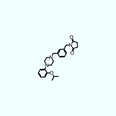 CC(C)Oc1ccccc1N1CCN(Cc2cccc(CN3C(=O)CCC3=O)c2)CC1